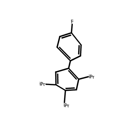 CC(C)c1cc(C(C)C)c(C(C)C)cc1-c1ccc(F)cc1